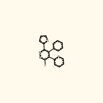 Fc1nnc(-c2cccs2)c(-c2ccccc2)c1-c1ccccn1